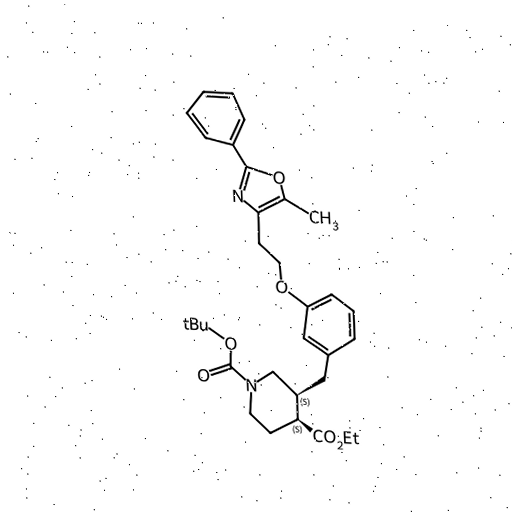 CCOC(=O)[C@H]1CCN(C(=O)OC(C)(C)C)C[C@H]1Cc1cccc(OCCc2nc(-c3ccccc3)oc2C)c1